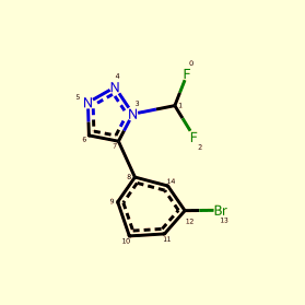 FC(F)n1nncc1-c1cccc(Br)c1